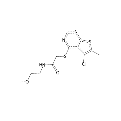 COCCNC(=O)CSc1ncnc2sc(C)c(Cl)c12